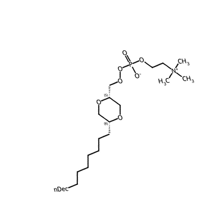 CCCCCCCCCCCCCCCCC[C@@H]1CO[C@H](COOP(=O)([O-])OCC[N+](C)(C)C)CO1